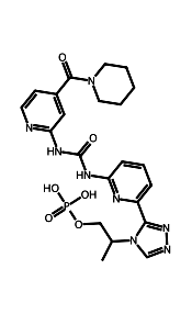 CC(COP(=O)(O)O)n1cnnc1-c1cccc(NC(=O)Nc2cc(C(=O)N3CCCCC3)ccn2)n1